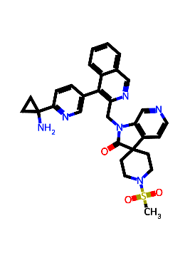 CS(=O)(=O)N1CCC2(CC1)C(=O)N(Cc1ncc3ccccc3c1-c1ccc(C3(N)CC3)nc1)c1cnccc12